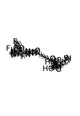 Cc1ncsc1-c1ccc(CNC(=O)[C@@H]2C[C@@H](O)CN2C(=O)[C@@H](NC(=O)CCCCCCCCCC(=O)N2CCN(c3ncc(-c4cc(NC(=O)c5ccc(F)cc5C(F)(F)F)c(N5C[C@@H](C)N(C)[C@@H](C)C5)cc4F)cn3)CC2)C(C)(C)C)cc1